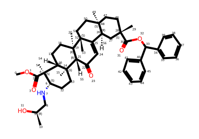 COC(=O)[C@]1(C)[C@@H](NC[C@@H](C)O)CC[C@@]2(C)[C@H]1CC[C@]1(C)[C@@H]2C(=O)C=C2[C@@H]3C[C@@](C)(C(=O)OC(c4ccccc4)c4ccccc4)CC[C@]3(C)CC[C@]21C